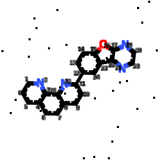 c1cnc2c(c1)ccc1ccc(-c3ccc4oc5nccnc5c4c3)nc12